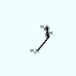 CCCCCCCCCCCCCCCCC1CCC(ONCCC(=O)OC)O1